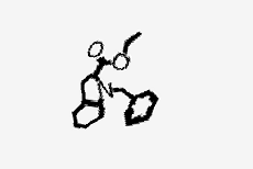 CCOC(=O)C1CC2CCCCC2N1Cc1ccccc1